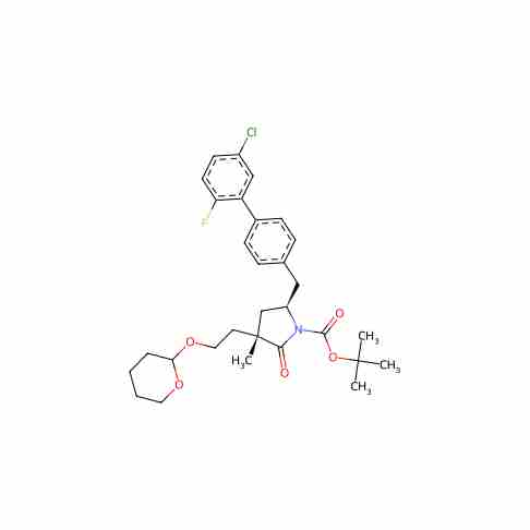 CC(C)(C)OC(=O)N1C(=O)[C@](C)(CCOC2CCCCO2)C[C@H]1Cc1ccc(-c2cc(Cl)ccc2F)cc1